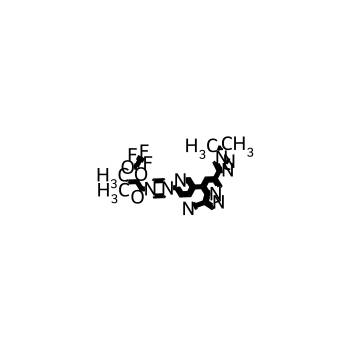 CC(C)[C@@H](OC(=O)C(F)(F)F)C(=O)N1CCN(c2ccc(-c3cc(-c4cn(C(C)C)nn4)cn4ncc(C#N)c34)cn2)CC1